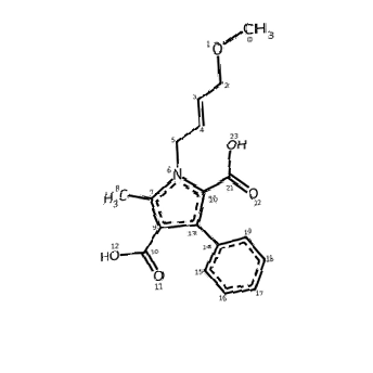 COC/C=C/Cn1c(C)c(C(=O)O)c(-c2ccccc2)c1C(=O)O